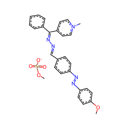 COS(=O)(=O)[O-].COc1ccc(/N=N/c2ccc(/C=N/N=C(/c3ccccc3)c3cc[n+](C)cc3)cc2)cc1